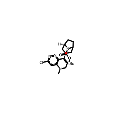 CN1CC=C([C@@H]2CC3CC[C@@H](C2)N3C(=O)OC(C)(C)C)c2nnc(Cl)cc21